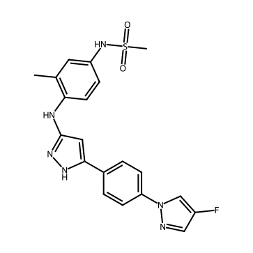 Cc1cc(NS(C)(=O)=O)ccc1Nc1cc(-c2ccc(-n3cc(F)cn3)cc2)[nH]n1